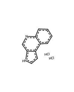 Cl.Cl.c1ccc2c(c1)ncc1[nH]ccc12